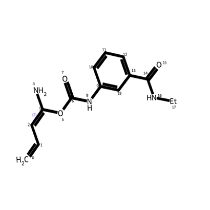 C=C/C=C(/N)OC(=O)Nc1cccc(C(=O)NCC)c1